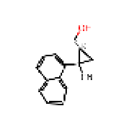 N#CC1(c2cccc3ccccc23)C[C@H]1CO